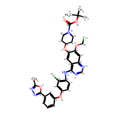 Cc1nnc(-c2cccc(Oc3ccc(Nc4ncnc5cc(OCF)c(OC6CCN(C(=O)OC(C)(C)C)CC6)cc45)c(F)c3)c2)o1